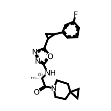 C[C@H](Nc1nnc(C2CC2c2cccc(F)c2)o1)C(=O)N1CCC2(CC1)CC2